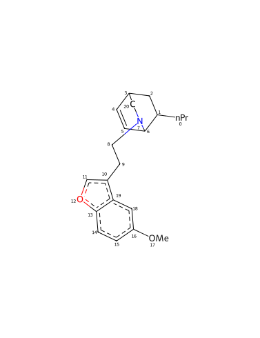 CCCC1CC2C=CC1N(CCc1coc3ccc(OC)cc13)C2